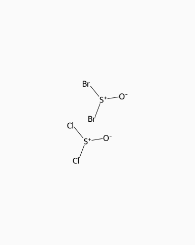 [O-][S+](Br)Br.[O-][S+](Cl)Cl